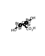 CC(CCCCC(=O)O)(c1cc(Br)c(OCCO)c(Br)c1)c1cc(Br)c(OCCO)c(Br)c1